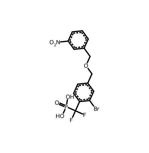 O=[N+]([O-])c1cccc(COCc2ccc(C(F)(F)P(=O)(O)O)c(Br)c2)c1